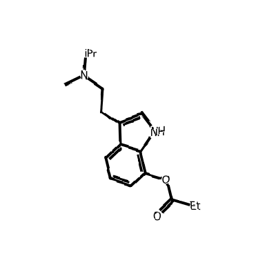 CCC(=O)Oc1cccc2c(CCN(C)C(C)C)c[nH]c12